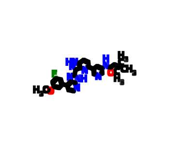 COc1cc(F)cc(-c2ccnc3[nH]c(-c4n[nH]c5ccc(-c6cncc(NC(=O)CC(C)(C)C)c6)nc45)nc23)c1